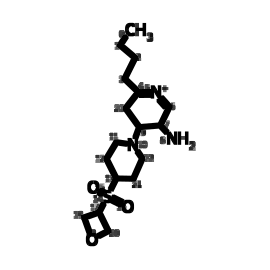 CCCCC1=[N+]=CC(N)C(N2CCC(S(=O)(=O)C3COC3)CC2)C1